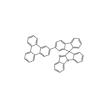 c1ccc2c(c1)-c1ccc(-c3ccc4c5ccccc5c5ccccc5c4c3)cc1C21c2ccccc2-n2c1nc1ccccc12